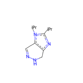 CC(C)c1nc2c(n1C(C)C)C=NNC2